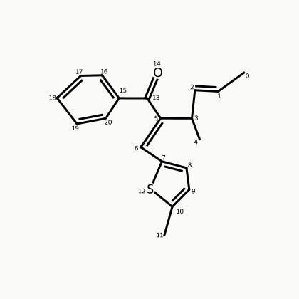 CC=CC(C)C(=Cc1ccc(C)s1)C(=O)c1ccccc1